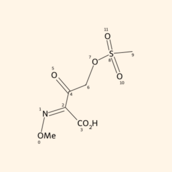 CO/N=C(\C(=O)O)C(=O)COS(C)(=O)=O